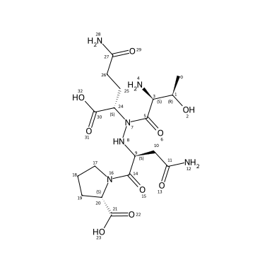 C[C@@H](O)[C@H](N)C(=O)N(N[C@@H](CC(N)=O)C(=O)N1CCC[C@H]1C(=O)O)[C@@H](CCC(N)=O)C(=O)O